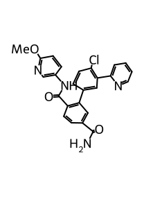 COc1ccc(NC(=O)c2ccc(C(N)=O)cc2-c2ccc(Cl)c(-c3ccccn3)c2)cn1